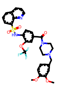 COc1ccc(CN2CCN(C(=O)c3ccc(NS(=O)(=O)c4cccc5cccnc45)c(OC(F)(F)F)c3)CC2)cc1OC